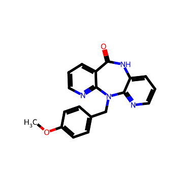 COc1ccc(CN2c3ncccc3NC(=O)c3cccnc32)cc1